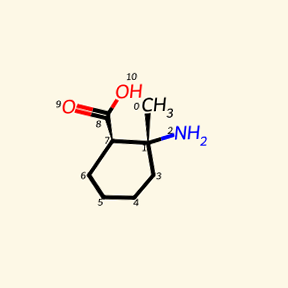 C[C@@]1(N)CCCC[C@H]1C(=O)O